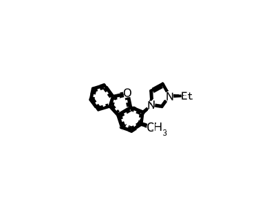 CCN1C=CN(c2c(C)ccc3c2oc2ccccc23)C1